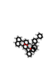 c1ccc(-c2ccc(N(c3ccccc3)c3ccc(-c4cccc5cccc(-c6ccc7c(c6)c6ccccc6n7-c6ccccc6)c45)cc3)cc2)cc1